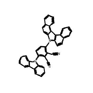 N#Cc1c(-n2c3ccccc3c3ccccc32)ccc(-n2c3ccc4ccccc4c3c3c4ccccc4ccc32)c1C#N